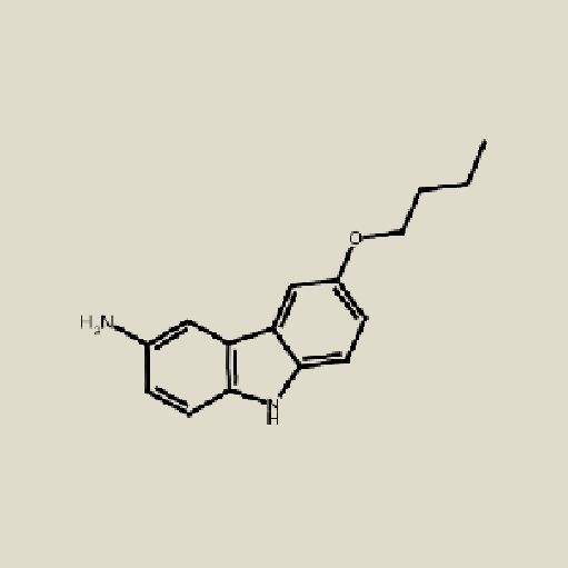 CCCCOc1ccc2[nH]c3ccc(N)cc3c2c1